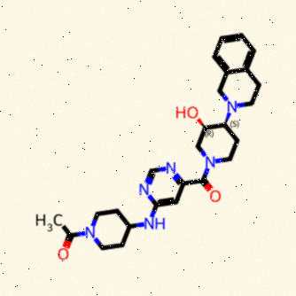 CC(=O)N1CCC(Nc2cc(C(=O)N3CC[C@H](N4CCc5ccccc5C4)[C@H](O)C3)ncn2)CC1